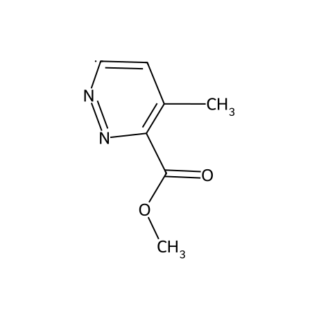 COC(=O)c1nn[c]cc1C